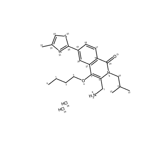 CCCCOc1c(CN)n(CC(C)C)c(=O)c2ccc(-c3nc(C)cs3)cc12.Cl.Cl